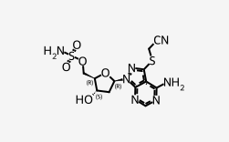 N#CCSc1nn([C@H]2C[C@H](O)[C@@H](COS(N)(=O)=O)O2)c2ncnc(N)c12